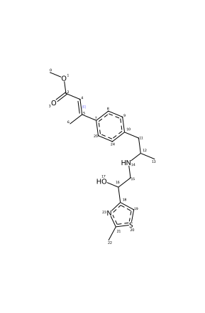 COC(=O)/C=C(\C)c1ccc(CC(C)NCC(O)c2csc(C)n2)cc1